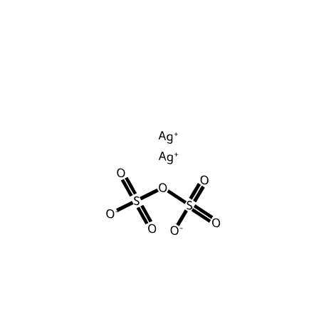 O=S(=O)([O-])OS(=O)(=O)[O-].[Ag+].[Ag+]